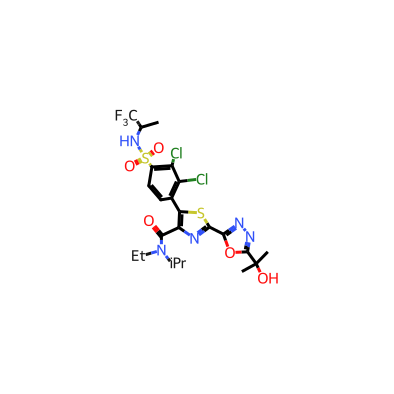 CCN(C(=O)c1nc(-c2nnc(C(C)(C)O)o2)sc1-c1ccc(S(=O)(=O)NC(C)C(F)(F)F)c(Cl)c1Cl)C(C)C